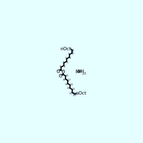 CCCCCCCC/C=C\CCCCCCCC(=O)OC(=O)CCCCCCC/C=C\CCCCCCCC.N.N